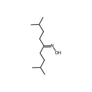 CC(C)CCC(CCC(C)C)=NO